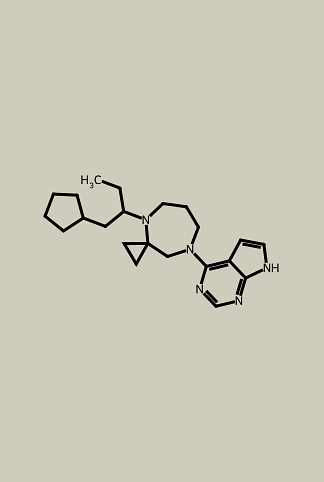 CCC(CC1CCCC1)N1CCCN(c2ncnc3[nH]ccc23)CC12CC2